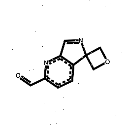 O=Cc1ccc2c(n1)C=NC21COC1